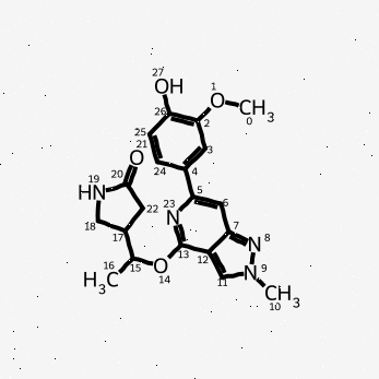 COc1cc(-c2cc3nn(C)cc3c(OC(C)C3CNC(=O)C3)n2)ccc1O